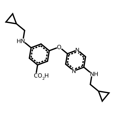 O=C(O)c1cc(NCC2CC2)cc(Oc2cnc(NCC3CC3)cn2)c1